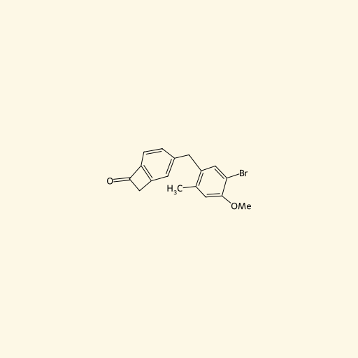 COc1cc(C)c(Cc2ccc3c(c2)CC3=O)cc1Br